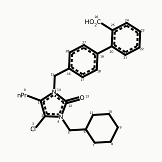 CCCc1c(Cl)n(CC2CCCCC2)c(=O)n1Cc1ccc(-c2ccccc2C(=O)O)cc1